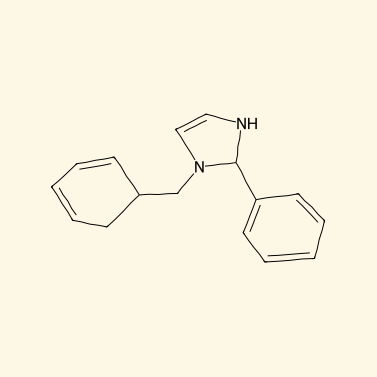 C1=CCC(CN2C=CNC2c2ccccc2)C=C1